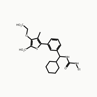 CCNC(=O)NC(c1cccc(-c2sc(C(=O)O)c(OCC(=O)O)c2C)c1)C1CCCCC1